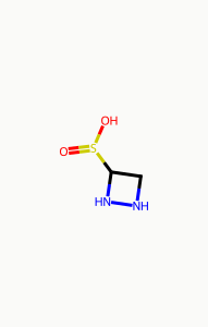 O=S(O)C1CNN1